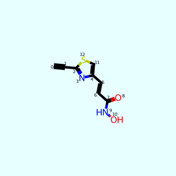 C#Cc1nc(/C=C/C(=O)NO)cs1